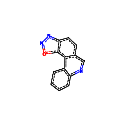 c1ccc2c(c1)ncc1ccc3nnoc3c12